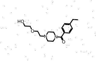 CCc1ccc(C(=O)N2CCN(CCOCCO)CC2)cc1